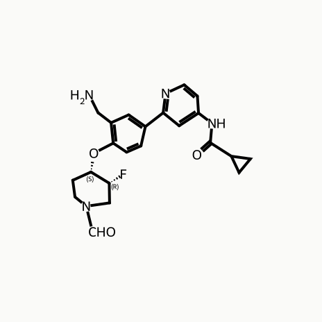 NCc1cc(-c2cc(NC(=O)C3CC3)ccn2)ccc1O[C@H]1CCN(C=O)C[C@H]1F